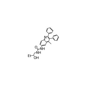 CCC(O)CNC(=O)Nc1ccc2nc(-c3ccccc3)c(-c3ccccc3)c(C)c2c1